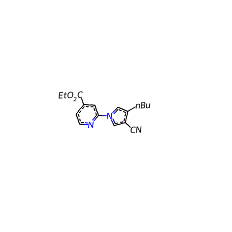 CCCCc1cn(-c2cc(C(=O)OCC)ccn2)cc1C#N